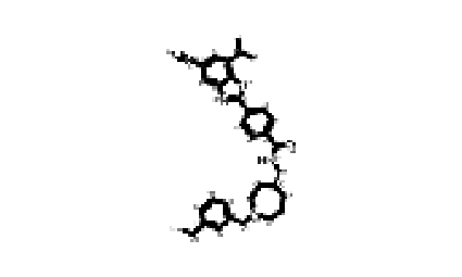 [C-]#[N+]c1cc(C(C)C)c2oc(-c3ccc(C(=O)NC[C@H]4CCCN(Cc5cccc(CF)c5)CC4)cc3)nc2c1